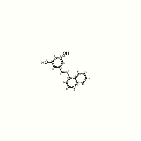 Oc1cc(O)cc(/C=C/c2ccnc3ccccc23)c1